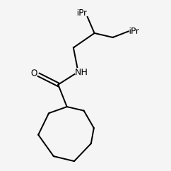 CC(C)CC(CNC(=O)C1CCCCCCC1)C(C)C